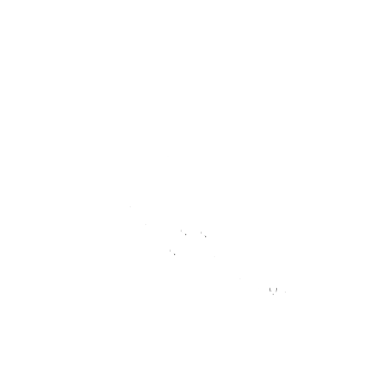 COc1ccc2nn(-c3cc(OCCCC=C(C)C(=O)O)cc(C(C)(C)C)c3O)nc2c1